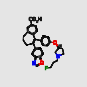 O=C(O)c1ccc2c(c1)CCCC(c1ccc3ocnc3c1)=C2c1ccc(O[C@H]2CCN(CCCF)C2)cc1